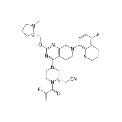 C=C(F)C(=O)N1CCN(c2nc(OC[C@@H]3CCCN3C)nc3c2CCN(c2ccc(F)c4c2SCCC4)C3)C[C@@H]1CC#N